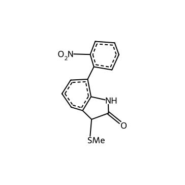 CSC1C(=O)Nc2c(-c3ccccc3[N+](=O)[O-])cccc21